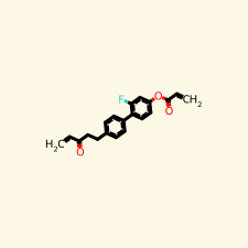 C=CC(=O)CCc1ccc(-c2ccc(OC(=O)C=C)cc2F)cc1